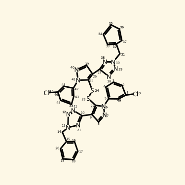 Clc1cccc(-n2ncc(-c3nnn(Cc4ccccc4)n3)c2SSc2c(-c3nnn(Cc4ccccc4)n3)cnn2-c2cccc(Cl)c2)c1